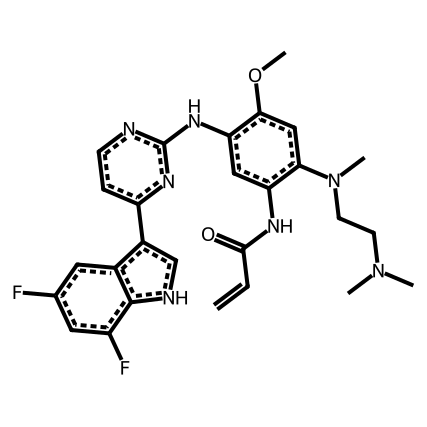 C=CC(=O)Nc1cc(Nc2nccc(-c3c[nH]c4c(F)cc(F)cc34)n2)c(OC)cc1N(C)CCN(C)C